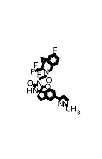 Cn1ccc(-c2ccc3c(c2)CC[C@]32NC(=O)N(CC(=O)N(Cc3ccc(F)cc3)[C@@H](C3CC3)C(F)(F)F)C2=O)n1